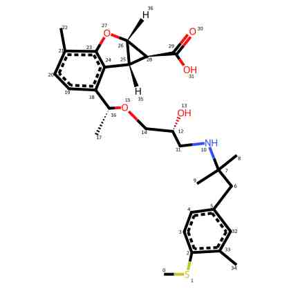 CSc1ccc(CC(C)(C)NC[C@@H](O)CO[C@H](C)c2ccc(C)c3c2[C@@H]2[C@H](O3)[C@H]2C(=O)O)cc1C